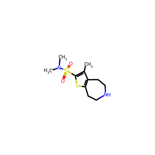 Cc1c(S(=O)(=O)N(C)C)sc2c1CCNCC2